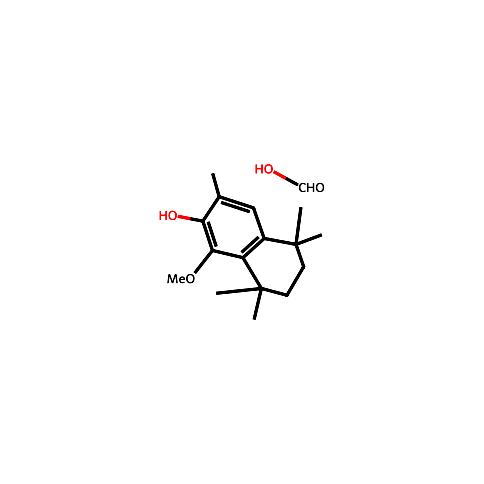 COc1c(O)c(C)cc2c1C(C)(C)CCC2(C)C.O=CO